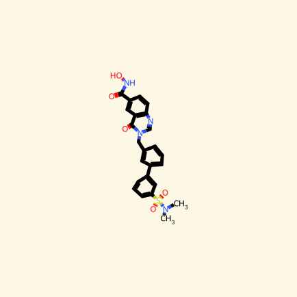 CN(C)S(=O)(=O)c1cccc(-c2cccc(Cn3cnc4ccc(C(=O)NO)cc4c3=O)c2)c1